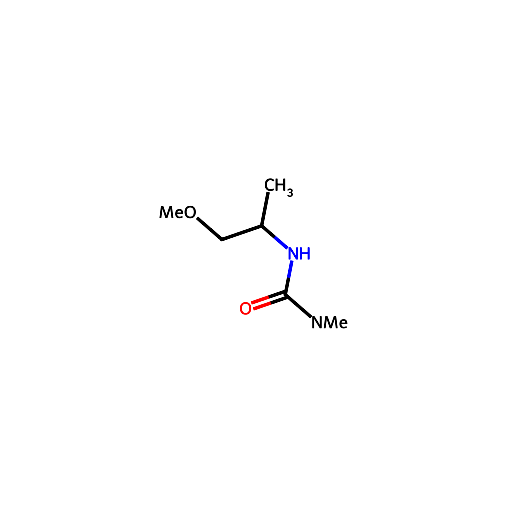 CNC(=O)NC(C)COC